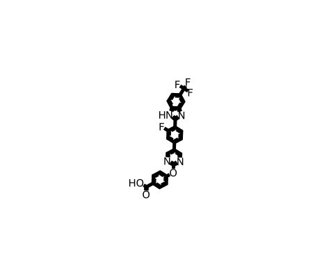 O=C(O)c1ccc(Oc2ncc(-c3ccc(-c4nc5cc(C(F)(F)F)ccc5[nH]4)c(F)c3)cn2)cc1